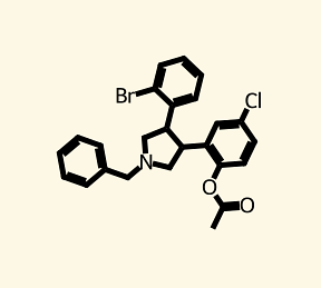 CC(=O)Oc1ccc(Cl)cc1C1CN(Cc2ccccc2)CC1c1ccccc1Br